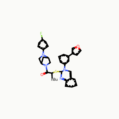 CCCCC(SC1N=c2ccccc2=CN1c1cccc(-c2ccoc2)c1)C(=O)N1CC2CC1CN2c1ccc(F)cc1